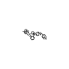 Cc1cc(CSc2ccccc2C(=O)N2CCN(Cc3ccncc3)CC2)no1